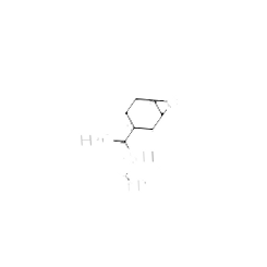 CCCO[SiH2]C(C)C1CCC2OC2C1